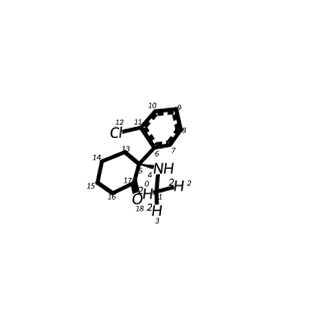 [2H]C([2H])([2H])N[C@]1(c2ccccc2Cl)CCCCC1=O